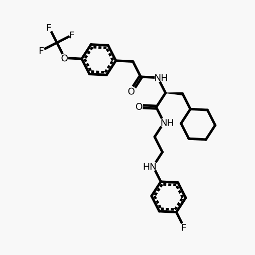 O=C(Cc1ccc(OC(F)(F)F)cc1)N[C@@H](CC1CCCCC1)C(=O)NCCNc1ccc(F)cc1